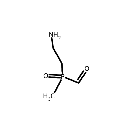 CP(=O)(C=O)CCN